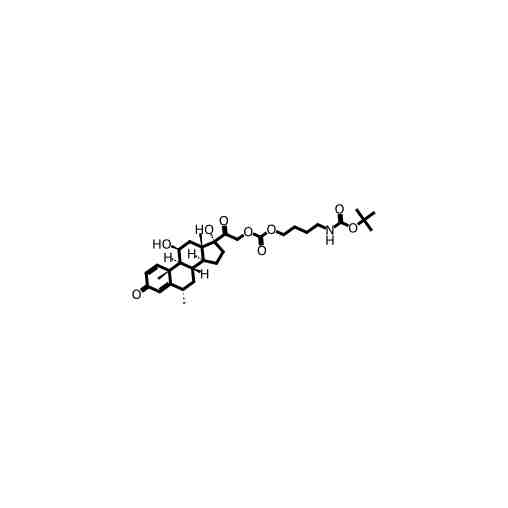 C[C@H]1C[C@@H]2[C@H]([C@@H](O)C[C@@]3(C)[C@H]2CC[C@]3(O)C(=O)COC(=O)OCCCCNC(=O)OC(C)(C)C)[C@@]2(C)C=CC(=O)C=C12